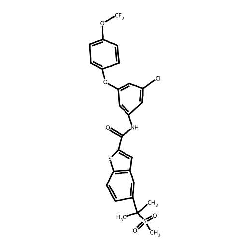 CC(C)(c1ccc2sc(C(=O)Nc3cc(Cl)cc(Oc4ccc(OC(F)(F)F)cc4)c3)cc2c1)S(C)(=O)=O